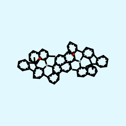 Cc1ccc2ccccc2c1N(c1c(-c2ccccc2)ccc2c1C(C)(C)c1ccccc1-2)c1ccc2ccc3c(N(c4c(-c5ccccc5)ccc5c4C(C)(C)c4ccccc4-5)c4c(C)ccc5ccccc45)ccc4ccc1c2c43